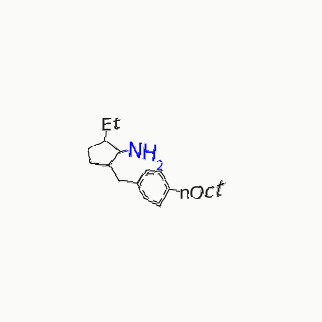 CCCCCCCCc1ccc(CC2CCC(CC)C2N)cc1